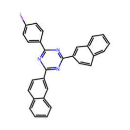 Ic1ccc(-c2nc(-c3ccc4ccccc4c3)nc(-c3ccc4ccccc4c3)n2)cc1